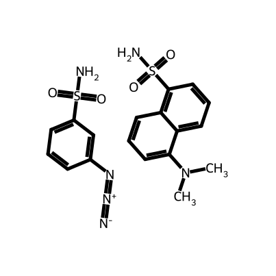 CN(C)c1cccc2c(S(N)(=O)=O)cccc12.[N-]=[N+]=Nc1cccc(S(N)(=O)=O)c1